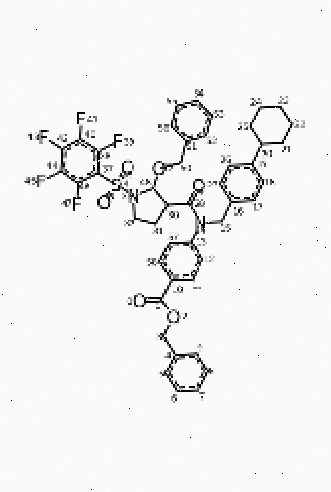 O=C(OCc1ccccc1)c1ccc(N(Cc2ccc(C3CCCCC3)cc2)C(=O)C2CCN(S(=O)(=O)c3c(F)c(F)c(F)c(F)c3F)C2OCc2ccccc2)cc1